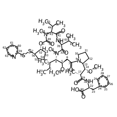 CC[C@H](C)[C@@H]([C@@H](CC(=O)N1CCCC1[C@H](OC)[C@@H](C)C(=O)N[C@@H](Cc1ccccc1)C(=O)O)OC)N(C)C(=O)C(NC(=O)C(C(C)C)N(C)C(=O)O[C@@H]1CCC[C@H]1SSc1ccccn1)C(C)C